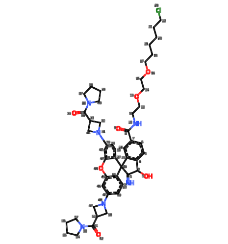 N=C1C(O)c2ccc(C(=O)NCCOCCOCCCCCCCl)cc2C12c1ccc(N3CC(C(=O)N4CCCC4)C3)cc1Oc1cc(N3CC(C(=O)N4CCCC4)C3)ccc12